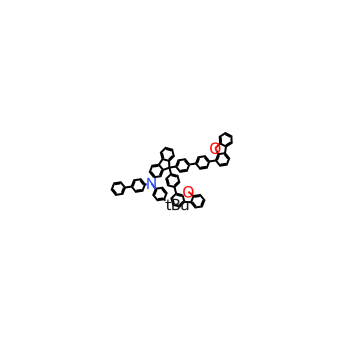 CC(C)(C)c1ccc(N(c2ccc(-c3ccccc3)cc2)c2ccc3c(c2)C(c2ccc(-c4ccc(-c5cccc6c5oc5ccccc56)cc4)cc2)(c2ccc(-c4cccc5c4oc4ccccc45)cc2)c2ccccc2-3)cc1